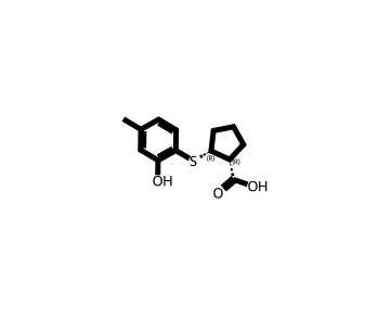 Cc1ccc(S[C@@H]2CCC[C@@H]2C(=O)O)c(O)c1